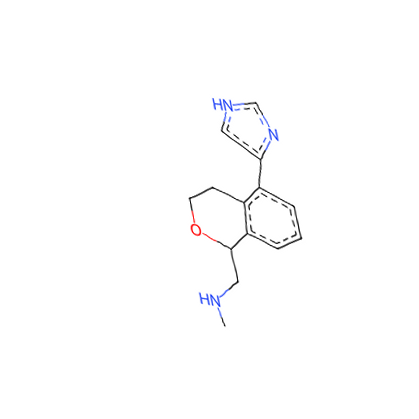 CNCC1OCCc2c(-c3c[nH]cn3)cccc21